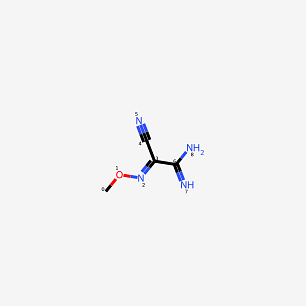 CON=C(C#N)C(=N)N